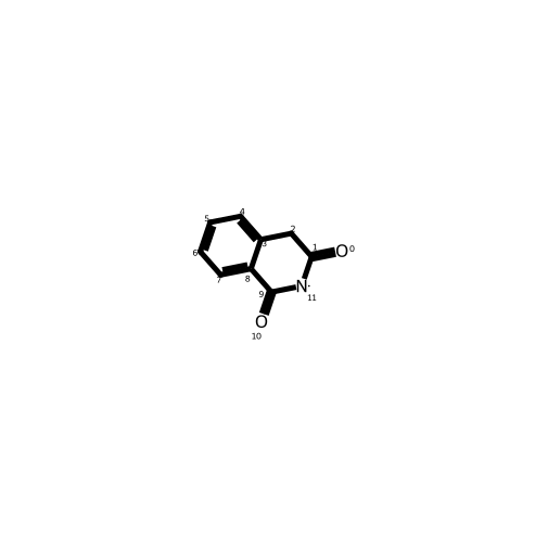 O=C1Cc2ccccc2C(=O)[N]1